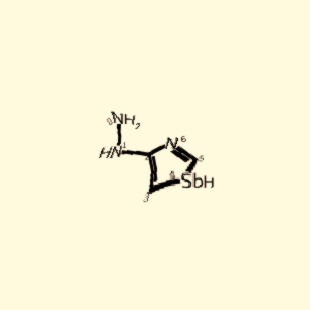 NNC1=[CH][SbH][CH]=N1